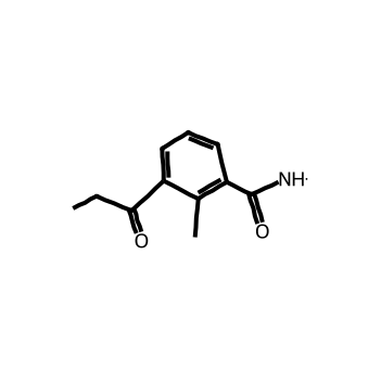 CCC(=O)c1cccc(C([NH])=O)c1C